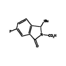 CC(C)(C)C1c2ccc(F)cc2C(=O)N1C(=O)O